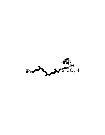 C/C(=C\CSCC(Nc1ncc[nH]1)C(=O)O)CCCC(C)CCCC(C)CCCC(C)C